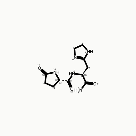 NC(=O)[C@H](CC1=NCCN1)NC(=O)[C@@H]1CCC(=O)N1